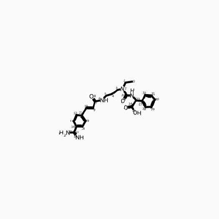 CCN(CCCNC(=O)/C=C/c1ccc(C(=N)N)cc1)C(=O)NC(C(=O)O)c1ccccc1